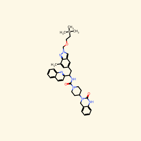 Cc1cc(CC(NC(=O)N2CCC(N3Cc4ccccc4NC3=O)CC2)c2ccc3ccccc3n2)cc2cn(COCC[Si](C)(C)C)nc12